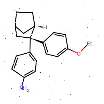 CCOc1ccc([C@@]2(c3ccc(N)cc3)CC3CC[C@@H]2C3)cc1